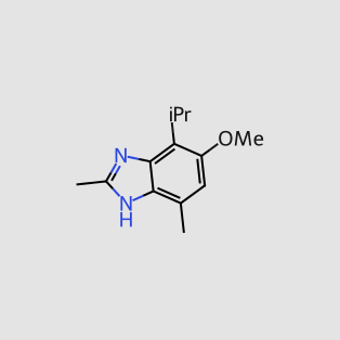 COc1cc(C)c2[nH]c(C)nc2c1C(C)C